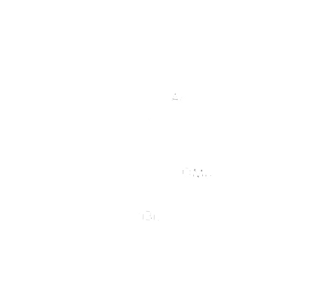 CCCCc1cccc(C(C)=O)c1OC